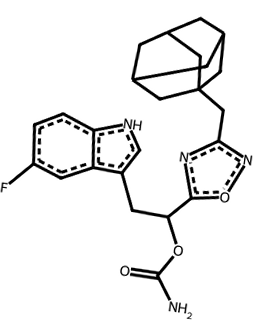 NC(=O)OC(Cc1c[nH]c2ccc(F)cc12)c1nc(CC23CC4CC(CC(C4)C2)C3)no1